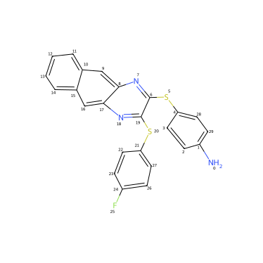 Nc1ccc(Sc2nc3cc4ccccc4cc3nc2Sc2ccc(F)cc2)cc1